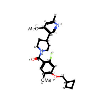 COc1cc(C(=O)N2CCC(c3cnc(C)cc3OC)CC2)c(F)cc1OCC1CCC1